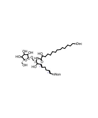 CCCCCCCCC/C=C/CC/C=C/[C@@H](O)[C@H](CO[C@@H]1O[C@H](CO)[C@@H](O)C(O)C1O)NC(=O)[C@H](O)CCCCCCCCCCCCCCCCCCCCCC